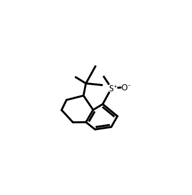 C[S+]([O-])c1cccc2c1C(C(C)(C)C)CCC2